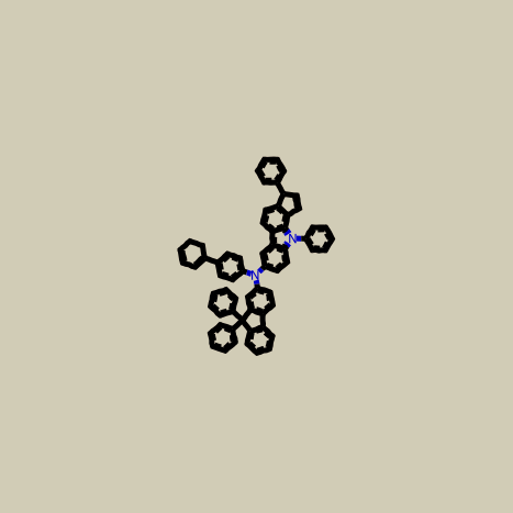 C1=CCCC(c2ccc(N(c3ccc4c(c3)C(c3ccccc3)(c3ccccc3)c3ccccc3-4)c3ccc4c(c3)c3ccc5c(c3n4-c3ccccc3)C=CC5c3ccccc3)cc2)=C1